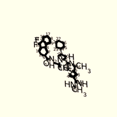 C=C(CNC(=O)C1C=C2C(=CC1)C(F)(F)c1ccccc12)N1C[C@@H](C2CCCCC2)C[C@H]1C(=O)N[C@H](C)c1cc(C(=N)NC)cs1